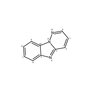 [c]1ccc2nc3ccccc3n2n1